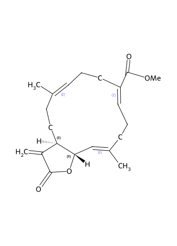 C=C1C(=O)O[C@H]2/C=C(\C)CC/C=C(\C(=O)OC)CC/C=C(\C)CC[C@H]12